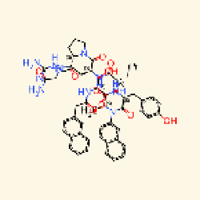 CC(C)C[C@H](NC(=O)[C@H](C)N(C(=O)[C@H](Cc1ccc(O)cc1)NC(=O)[C@H](CO)NC(=O)Cc1ccc2ccccc2c1)c1ccc2ccccc2c1)C(=O)N[C@@H](CCCNC(=N)N)C(=O)N1CCC[C@H]1C(=O)NCC(N)=O